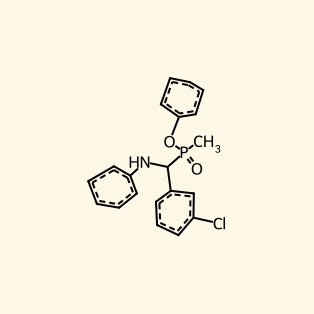 CP(=O)(Oc1ccccc1)C(Nc1ccccc1)c1cccc(Cl)c1